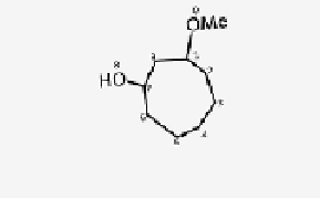 COC1CCC[CH]CC(O)C1